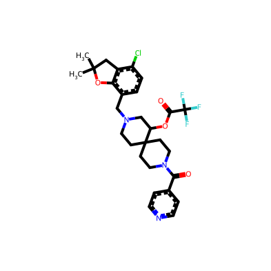 CC1(C)Cc2c(Cl)ccc(CN3CCC4(CCN(C(=O)c5ccncc5)CC4)C(OC(=O)C(F)(F)F)C3)c2O1